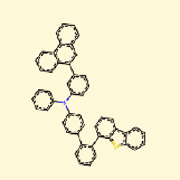 c1ccc(N(c2ccc(-c3ccccc3-c3cccc4c3sc3ccccc34)cc2)c2cccc(-c3cc4ccccc4c4ccccc34)c2)cc1